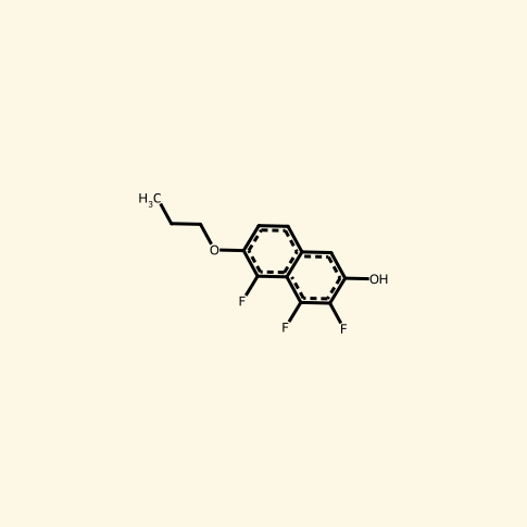 CCCOc1ccc2cc(O)c(F)c(F)c2c1F